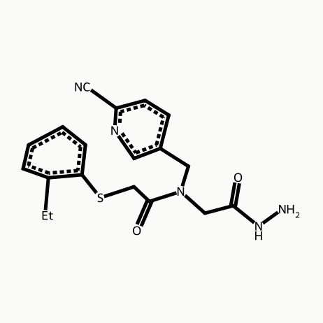 CCc1ccccc1SCC(=O)N(CC(=O)NN)Cc1ccc(C#N)nc1